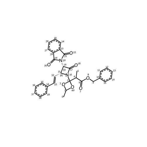 CC1OC(C(C)C(=O)OCc2ccccc2)(N2C(=O)[C@@H](N3C(=O)c4ccccc4C3=O)[C@H]2C=Cc2ccccc2)O1